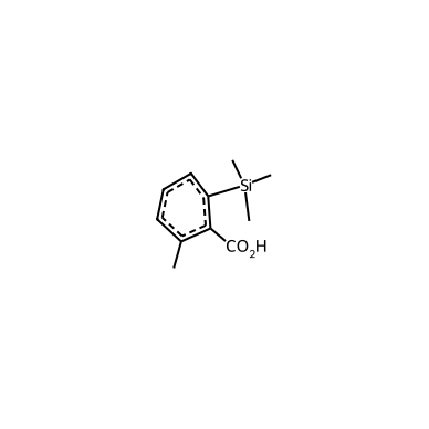 Cc1cccc([Si](C)(C)C)c1C(=O)O